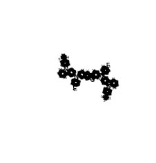 CC(C)(C)c1ccc(N2C3=C(CCC=C3)C3CC(N(c4ccc(F)cc4)C4C=Cc5c(oc6cc7c(cc56)CCC(N(C5=CC=C(F)CC5)C5C=C6C8CCC=CC8N(c8ccc(C(C)(C)C)cc8)C6CC5)=C7)C4)=CCC32)cc1